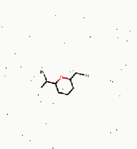 CC(C)CC1CCCC(C(C)C(C)C)O1